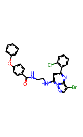 O=C(NCCNc1cc(-c2ccccc2Cl)nc2c(Br)cnn12)c1ccc(Oc2ccccc2)cc1